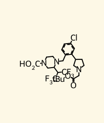 CC(C)(C)OC(=O)CN1CCC(c2cc(Cl)ccc2CN2CCN(C(=O)O)CC2C(C(F)(F)F)C(F)(F)F)C1